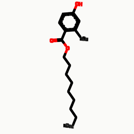 CCCCCCCCCCCCCCCCCCOC(=O)c1ccc(O)cc1CCCC